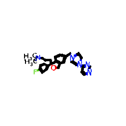 CN(C)CCCC1(c2ccc(F)cc2)OCc2cc(CN3CCN(c4ccncn4)CC3)ccc21